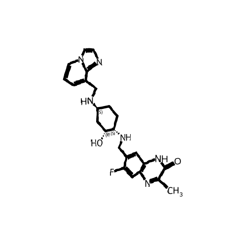 Cc1nc2cc(F)c(CN[C@H]3CC[C@H](NCc4cccn5ccnc45)C[C@H]3O)cc2[nH]c1=O